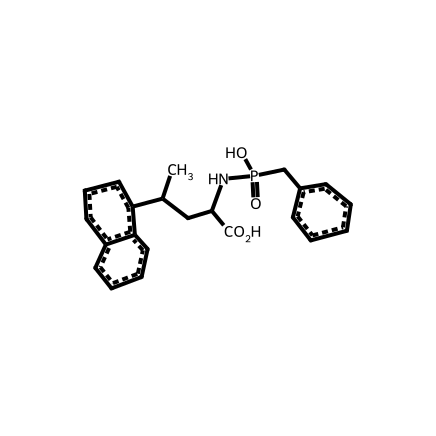 CC(CC(NP(=O)(O)Cc1ccccc1)C(=O)O)c1cccc2ccccc12